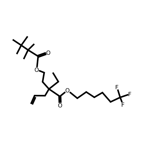 C=CCC(CC)(CCOC(=O)C(C)(C)C(C)(C)C)C(=O)OCCCCCC(F)(F)F